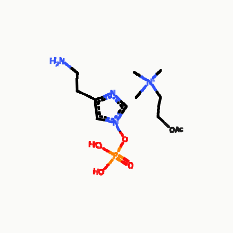 CC(=O)OCC[N+](C)(C)C.NCCc1cn(OP(=O)(O)O)cn1